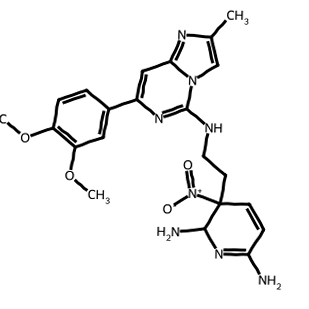 COc1ccc(-c2cc3nc(C)cn3c(NCCC3([N+](=O)[O-])C=CC(N)=NC3N)n2)cc1OC